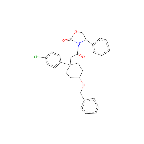 O=C(CC1(c2ccc(Cl)cc2)CCC(OCc2ccccc2)CC1)N1C(=O)OCC1c1ccccc1